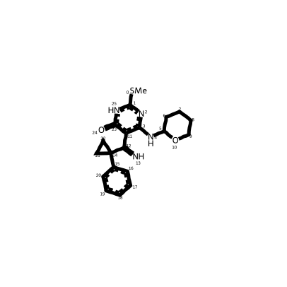 CSc1nc(NC2CCCCO2)c(C(=N)C2(c3ccccc3)CC2)c(=O)[nH]1